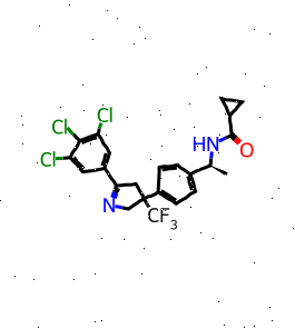 C[C@H](NC(=O)C1CC1)c1ccc(C2(C(F)(F)F)CN=C(c3cc(Cl)c(Cl)c(Cl)c3)C2)cc1